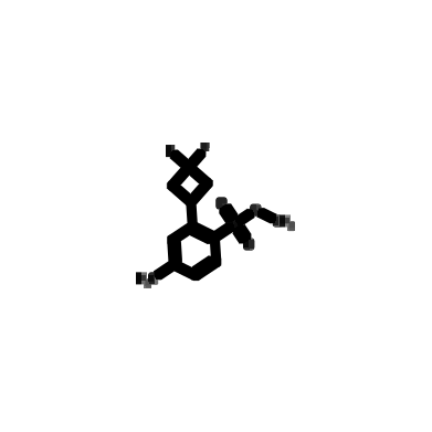 COS(=O)(=O)c1ccc(C)cc1C1CC(F)(F)C1